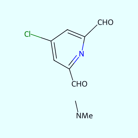 CNC.O=Cc1cc(Cl)cc(C=O)n1